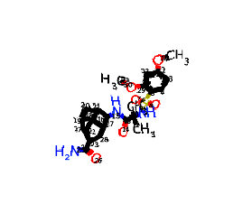 COc1ccc(S(=O)(=O)NC(C)(C)C(=O)NC2C3CC4CC2CC(C(N)=O)(C4)C3)c(OC)c1